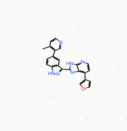 Cc1ccncc1-c1ccc2[nH]nc(-c3nc4c(-c5ccoc5)ccnc4[nH]3)c2c1